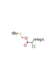 CCCCCCCC(Cl)C(=O)OCSC(C)(C)C